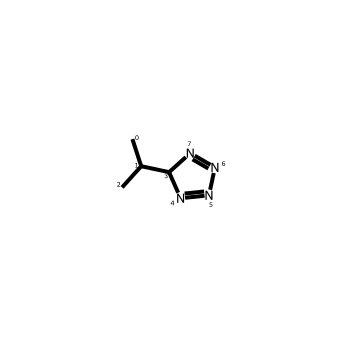 CC(C)C1N=NN=N1